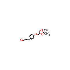 CC1(C)OCC(COc2ccc(CCC=O)cc2)O1